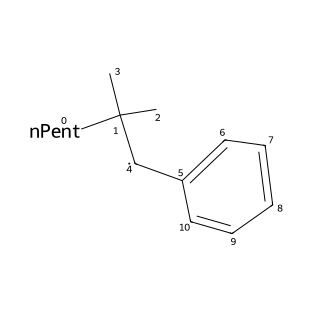 CCCCCC(C)(C)[CH]c1ccccc1